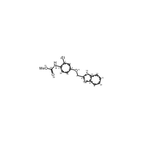 CCc1cc(OCc2nc3ccccc3s2)ccc1NC(=O)OC